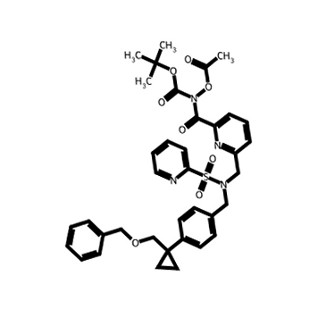 CC(=O)ON(C(=O)OC(C)(C)C)C(=O)c1cccc(CN(Cc2ccc(C3(COCc4ccccc4)CC3)cc2)S(=O)(=O)c2ccccn2)n1